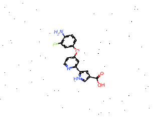 Nc1ccc(Oc2ccnc(-c3cc(C(=O)O)c[nH]3)c2)cc1F